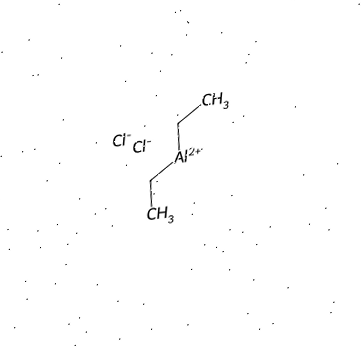 C[CH2][Al+2][CH2]C.[Cl-].[Cl-]